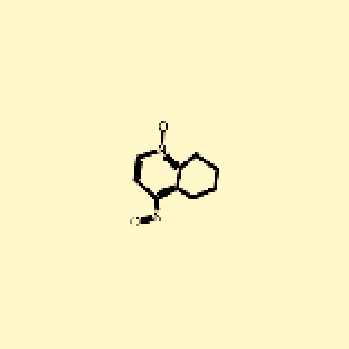 O=Nc1cc[n+]([O-])c2c1CCCC2